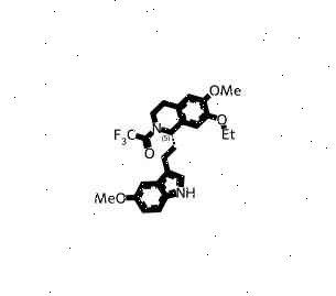 CCOc1cc2c(cc1OC)CCN(C(=O)C(F)(F)F)[C@H]2CCc1c[nH]c2ccc(OC)cc12